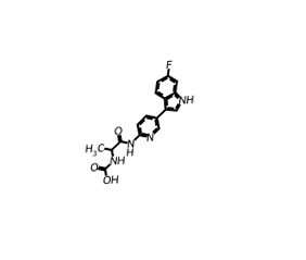 CC(NC(=O)O)C(=O)Nc1ccc(-c2c[nH]c3cc(F)ccc23)cn1